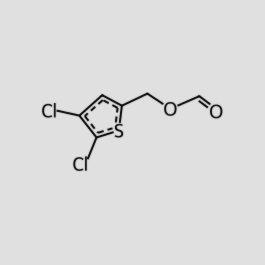 O=COCc1cc(Cl)c(Cl)s1